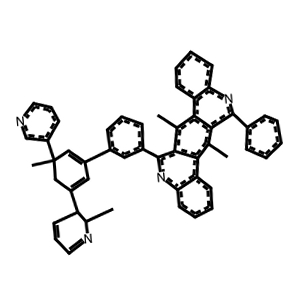 Cc1c2c(-c3cccc(C4=CC(C)(c5cccnc5)CC(C5C=CC=NC5C)=C4)c3)nc3ccccc3c2c(C)c2c(-c3ccccc3)nc3ccccc3c12